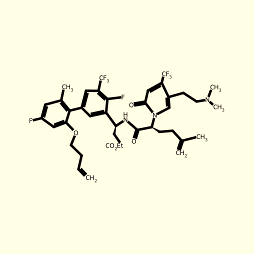 C=CCCOc1cc(F)cc(C)c1-c1cc([C@H](CC(=O)OCC)NC(=O)[C@H](CCC(=C)C)n2cc(CCN(C)C)c(C(F)(F)F)cc2=O)c(F)c(C(F)(F)F)c1